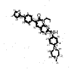 CCn1c(=O)c(-c2ccc(-c3cccs3)cc2)cc2cnc(Nc3ccc(N4CCN(C)CC4)cc3)nc21